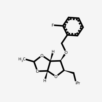 CC(C)C[C@H]1O[C@@H]2OC(C)O[C@@H]2[C@H]1OCc1ccccc1F